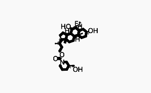 CC[C@H]1[C@@H](O)C2[C@@H]3CC[C@H]([C@H](C)CCOC(=O)N4CCC[C@H](CO)C4)C3(C)CC[C@@H]2[C@@]2(C)CC[C@@H](O)C[C@@H]12